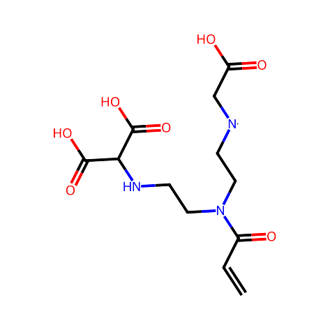 C=CC(=O)N(CC[N]CC(=O)O)CCNC(C(=O)O)C(=O)O